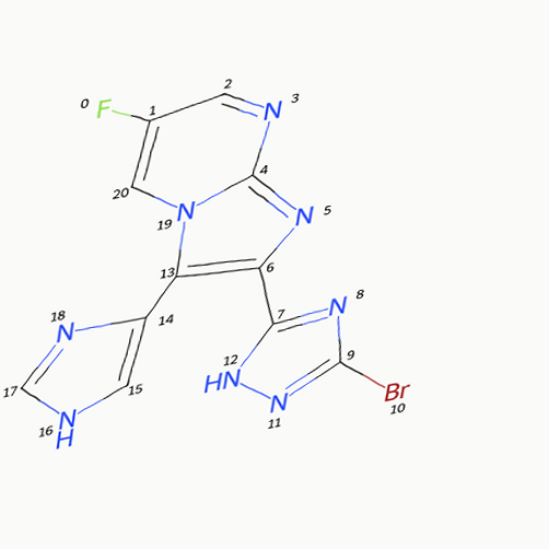 Fc1cnc2nc(-c3nc(Br)n[nH]3)c(-c3c[nH]cn3)n2c1